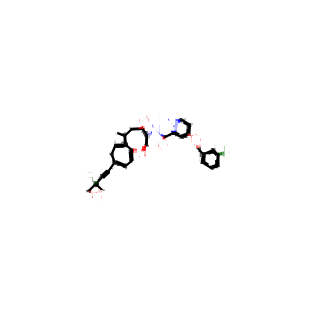 CC1CC(=O)[C@@H](NC(=O)c2cc(OCc3cccc(F)c3)ccn2)COC2=CC=C(C#CC3(F)COC3)CC=C21